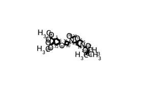 COC(=O)c1ccc(O[C@H]2C[C@H](N3CC4(CCN(C(=O)OC(C)(C)C)CC4)OCC3=O)C2)cc1C(=O)OC